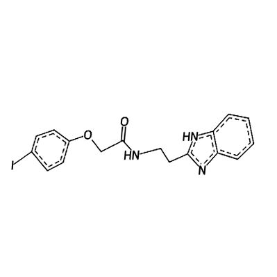 O=C(COc1ccc(I)cc1)NCCc1nc2ccccc2[nH]1